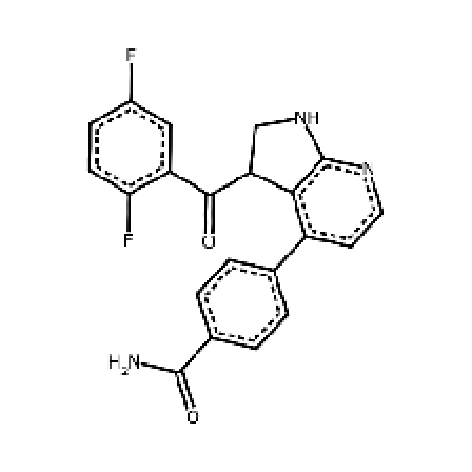 NC(=O)c1ccc(-c2ccnc3c2C(C(=O)c2cc(F)ccc2F)CN3)cc1